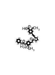 CCc1cc(C#CC2CCCN2C(=O)Cc2ccc(NC(=O)Nc3ccccc3)c(OC)c2)ccc1C(=O)O